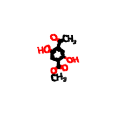 COC(=O)c1cc(O)c(C(C)=O)cc1O